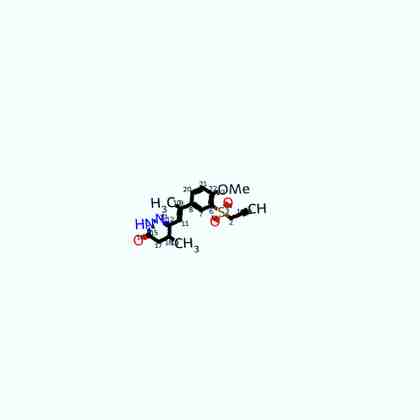 C#CCS(=O)(=O)c1cc(C(C)=CC2=NNC(=O)CC2C)ccc1OC